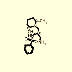 C[C@@H]1CCC[C@H](C)N1C[C@@H](CN)NS(=O)(=O)c1ccccc1